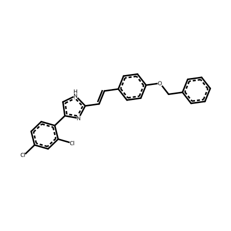 Clc1ccc(-c2c[nH]c(/C=C/c3ccc(OCc4ccccc4)cc3)n2)c(Cl)c1